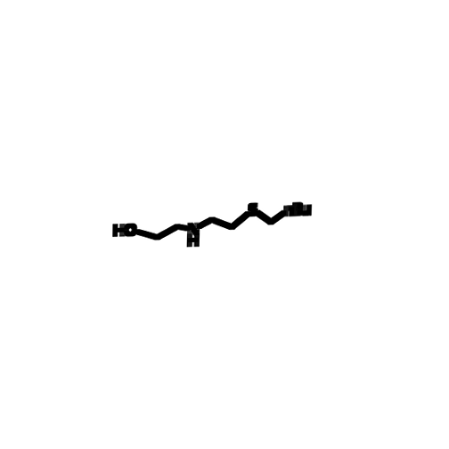 CCCCCSCCNCCO